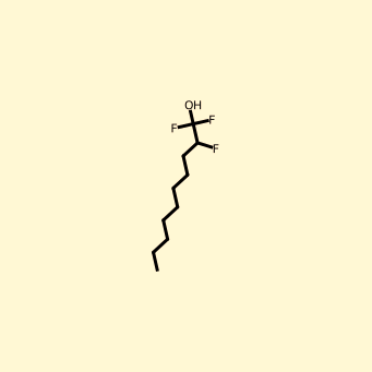 CCCCCCCCC(F)C(O)(F)F